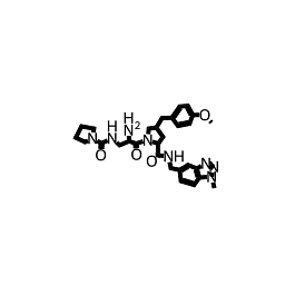 COc1ccc(CC2CC(C(=O)NCc3ccc4c(c3)nnn4C)N(C(=O)C(N)CNC(=O)N3CCCC3)C2)cc1